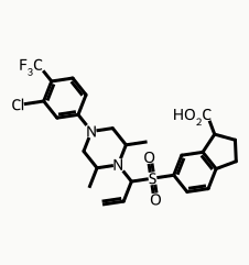 C=CC(N1C(C)CN(c2ccc(C(F)(F)F)c(Cl)c2)CC1C)S(=O)(=O)c1ccc2c(c1)C(C(=O)O)CC2